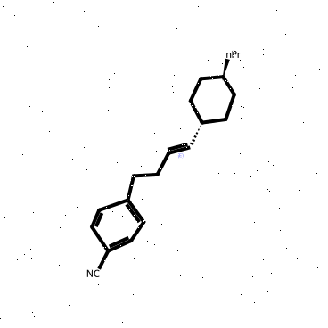 CCC[C@H]1CC[C@H](/C=C/CCc2ccc(C#N)cc2)CC1